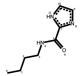 CCCCNC(=O)c1ncc[nH]1